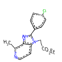 CCOC(=O)Cn1c(-c2ccc(Cl)cc2)nc2c(C)nccc21